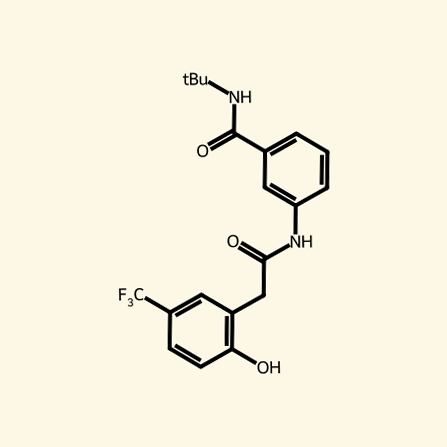 CC(C)(C)NC(=O)c1cccc(NC(=O)Cc2cc(C(F)(F)F)ccc2O)c1